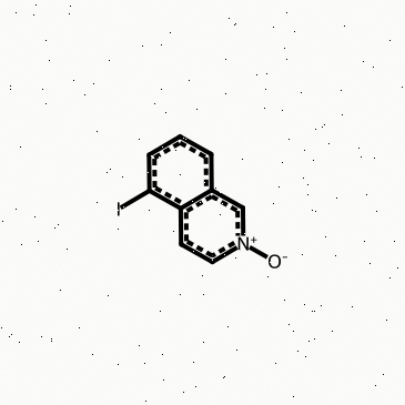 [O-][n+]1ccc2c(I)cccc2c1